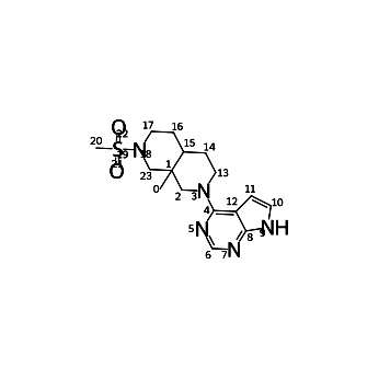 CC12CN(c3ncnc4[nH]ccc34)CCC1CCN(S(C)(=O)=O)C2